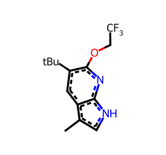 Cc1c[nH]c2nc(OCC(F)(F)F)c(C(C)(C)C)cc12